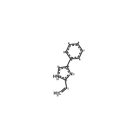 C=Cc1nc(-c2ccccc2)c[nH]1